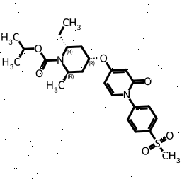 CC[C@@H]1C[C@H](Oc2ccn(-c3ccc(S(C)(=O)=O)cc3)c(=O)c2)C[C@@H](C)N1C(=O)OC(C)C